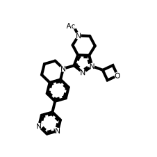 CC(=O)N1CCc2c(c(N3CCCc4cc(-c5cncnc5)ccc43)nn2C2COC2)C1